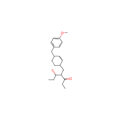 CCC(=O)C(CC1CCC(Cc2ccc(OC)cc2)CC1)C(=O)CC